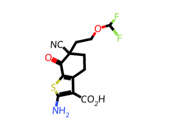 N#CC1(CCOC(F)F)CCc2c(sc(N)c2C(=O)O)C1=O